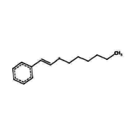 CCCCCC[C]C=Cc1ccccc1